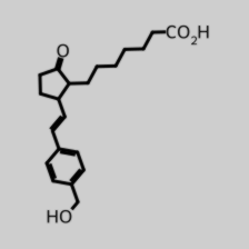 O=C(O)CCCCCCC1C(=O)CCC1C=Cc1ccc(CO)cc1